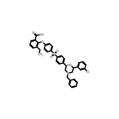 CCc1cccc(C(=O)O)c1Oc1ccc(S(=O)(=O)c2ccc(CCN(Cc3ccccc3)CC(O)c3cccc(Cl)c3)cc2)cc1